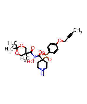 CC#CCOc1ccc(S(=O)(=O)C2(C(=O)N(O)C(=O)C3(C)COC(C)(C)OC3)CCNCC2)cc1